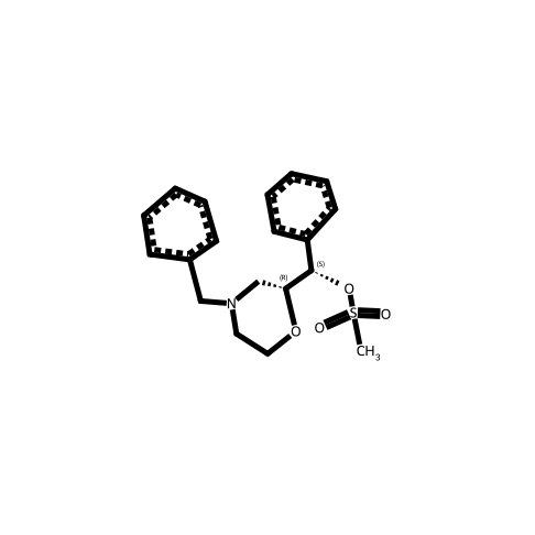 CS(=O)(=O)O[C@@H](c1ccccc1)[C@H]1CN(Cc2ccccc2)CCO1